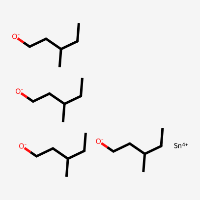 CCC(C)CC[O-].CCC(C)CC[O-].CCC(C)CC[O-].CCC(C)CC[O-].[Sn+4]